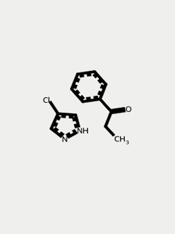 CCC(=O)c1ccccc1.Clc1cn[nH]c1